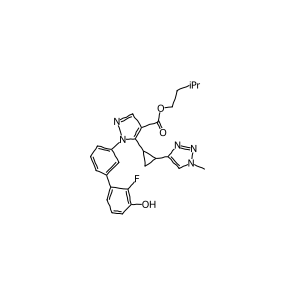 CC(C)CCOC(=O)c1cnn(-c2cccc(-c3cccc(O)c3F)c2)c1C1CC1c1cn(C)nn1